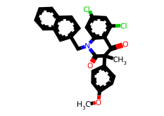 COc1ccc(C2(C)C(=O)c3c(Cl)cc(Cl)cc3N(Cc3ccc4ccccc4c3)C2=O)cc1